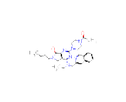 CCCCN1Cc2c(nc(N3CCN(C(C)=O)CC3)nc2N(CC)Cc2cc3ccccc3cn2)C1=O